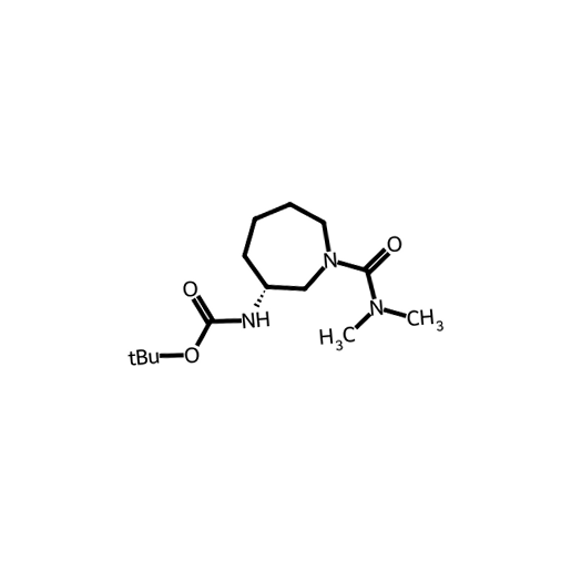 CN(C)C(=O)N1CCCC[C@@H](NC(=O)OC(C)(C)C)C1